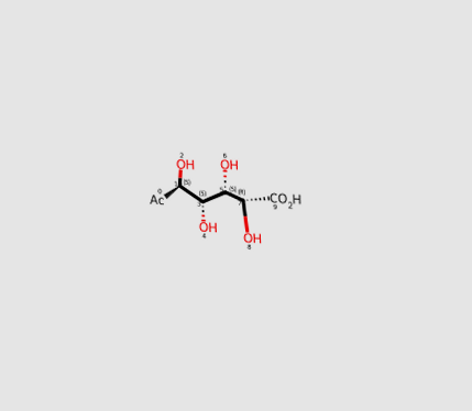 CC(=O)[C@@H](O)[C@@H](O)[C@H](O)[C@@H](O)C(=O)O